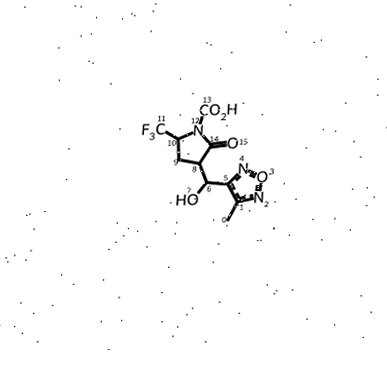 Cc1nonc1C(O)C1CC(C(F)(F)F)N(C(=O)O)C1=O